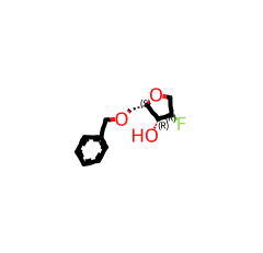 O[C@H]1[C@H](F)CO[C@H]1COCc1ccccc1